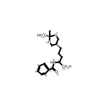 C[C@]1(C(=O)O)OC[C@@H](CCCC(NC(=O)c2ccccc2)C(=O)O)CO1